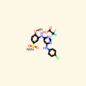 CNS(=O)(=O)c1ccc(OC(C)C)c(Nc2cc(Nc3ccc(Cl)cc3)ncn2)c1.O=C(O)C(F)(F)F